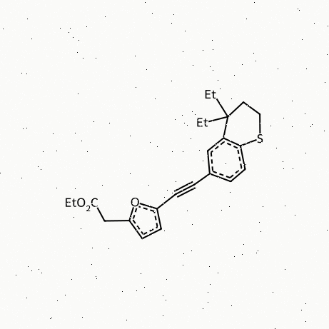 CCOC(=O)Cc1ccc(C#Cc2ccc3c(c2)C(CC)(CC)CCS3)o1